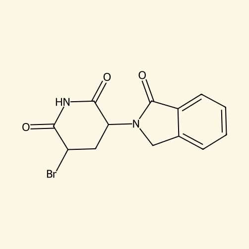 O=C1NC(=O)C(N2Cc3ccccc3C2=O)CC1Br